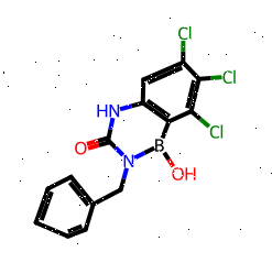 O=C1Nc2cc(Cl)c(Cl)c(Cl)c2B(O)N1Cc1ccccc1